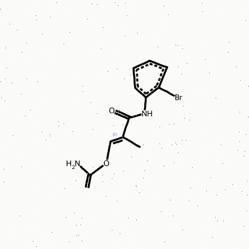 C=C(N)O/C=C(\C)C(=O)Nc1ccccc1Br